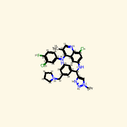 CC(C)n1cc(C(Nc2cc(Cl)c3ncc(C#N)c(Nc4ccc(F)c(Cl)c4)c3c2)c2cccc(CN3CCCC3)c2)nn1